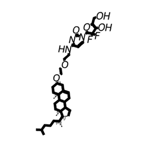 CC(C)CCC[C@@H](C)[C@H]1CCC2C3CC=C4C[C@@H](OCCOCCNc5ccn(C6OC(CO)C(O)C6(F)F)c(=O)n5)CC[C@]4(C)C3CC[C@@]21C